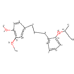 COc1ccc(CCCc2ccccc2OC(C)C)cc1OC